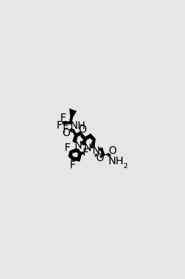 NC(=O)[C@@H]1CN(c2ccc3c(=O)c(C(=O)N[C@@H](C4CC4)C(F)(F)F)cn(-c4c(F)cc(F)cc4F)c3n2)CO1